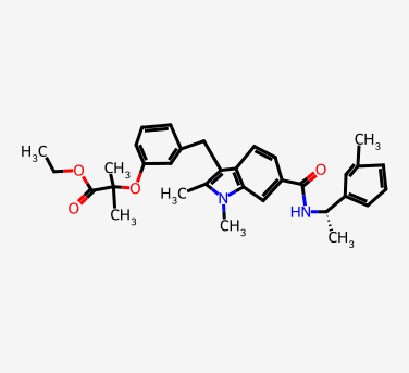 CCOC(=O)C(C)(C)Oc1cccc(Cc2c(C)n(C)c3cc(C(=O)N[C@@H](C)c4cccc(C)c4)ccc23)c1